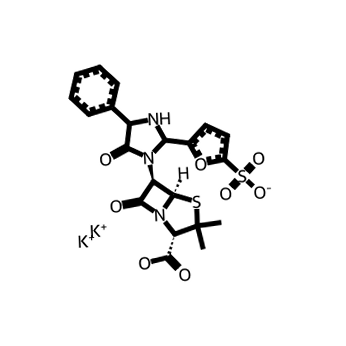 CC1(C)S[C@@H]2[C@H](N3C(=O)C(c4ccccc4)NC3c3ccc(S(=O)(=O)[O-])o3)C(=O)N2[C@H]1C(=O)[O-].[K+].[K+]